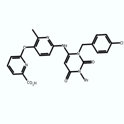 Cc1nc(Nc2cc(=O)n(C(C)C)c(=O)n2Cc2ccc(Cl)cc2)ccc1Oc1cccc(C(=O)O)n1